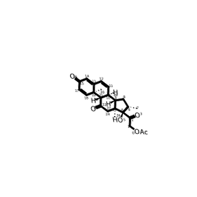 CC(=O)OCC(=O)[C@@]1(O)[C@@H](C)C[C@H]2[C@@H]3C=CC4=CC(=O)C=C[C@]4(C)[C@H]3C(=O)C[C@@]21C